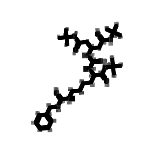 CC(C)(C)OC(=O)CC(CC(=O)OC(C)(C)C)NC(=O)NC(CCCCNC(=O)OCc1ccccc1)C(=O)OC(C)(C)C